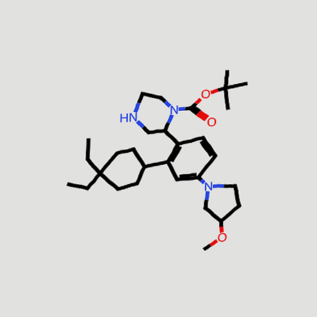 CCC1(CC)CCC(c2cc(N3CCC(OC)C3)ccc2C2CNCCN2C(=O)OC(C)(C)C)CC1